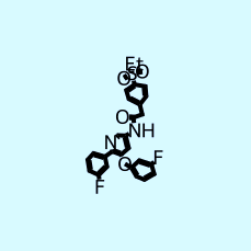 CCS(=O)(=O)c1ccc(CC(=O)Nc2cnc(-c3cccc(F)c3)c(Oc3cccc(F)c3)c2)cc1